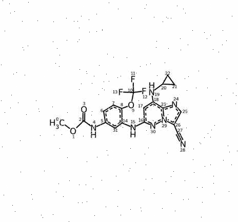 COC(=O)Nc1ccc(OC(F)(F)F)c(Nc2cc(NC3CC3)c3ncc(C#N)n3n2)c1